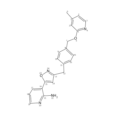 Cc1ccnc(OCc2ccc(Cc3cc(-c4cccnc4N)on3)cc2)c1